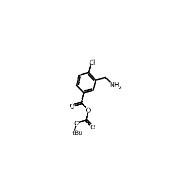 CC(C)(C)OC(=O)OC(=O)c1ccc(Cl)c(CN)c1